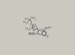 CCCOc1cc(F)cc(C[C@H](NC(C)=O)[C@H](O)[C@H]2CO[C@@H](OCC(C)(C)CF)[C@H](C)N2)c1.Cl